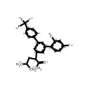 CC(=O)C(CC(C)C)c1cc(-c2ccc(C(F)(F)F)cc2)cc(-c2ccc(F)cc2F)c1